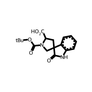 CC(C)(C)OC(=O)N1CC2(CC1C(=O)O)C(=O)Nc1ccccc12